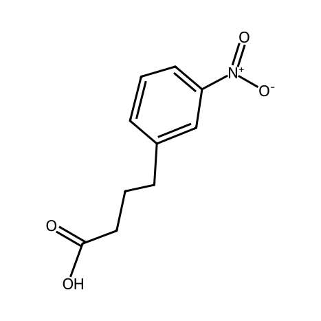 O=C(O)CCCc1cccc([N+](=O)[O-])c1